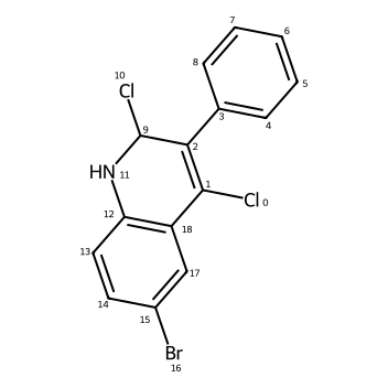 ClC1=C(c2ccccc2)C(Cl)Nc2ccc(Br)cc21